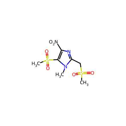 Cn1c(CS(C)(=O)=O)nc([N+](=O)[O-])c1S(C)(=O)=O